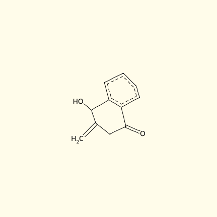 C=C1CC(=O)c2ccccc2C1O